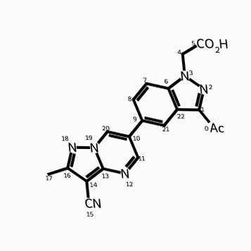 CC(=O)c1nn(CC(=O)O)c2ccc(-c3cnc4c(C#N)c(C)nn4c3)cc12